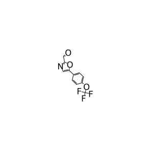 O=Cc1ncc(-c2ccc(OC(F)(F)F)cc2)o1